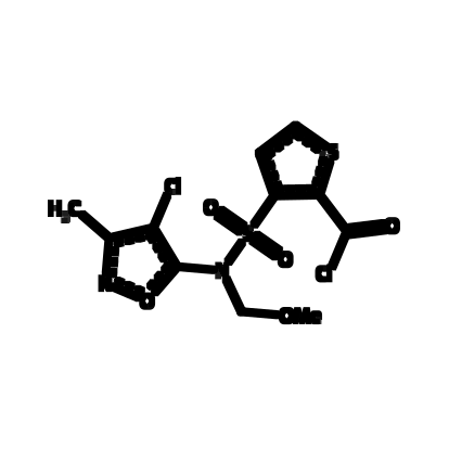 COCN(c1onc(C)c1Cl)S(=O)(=O)c1ccsc1C(=O)Cl